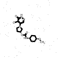 CO[C@H]1CC[C@@H](NC(=O)O[C@@H]2CCN(c3cn[nH]c(=O)c3Cl)C2)CC1